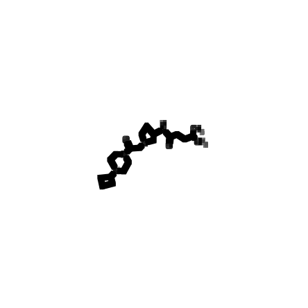 CC(C)CCC(=O)NC1CCN(CC(=O)N2CCN(C3CCC3)CC2)C1